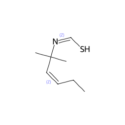 CC/C=C\C(C)(C)/N=C\S